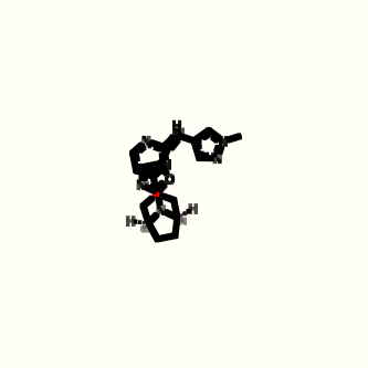 Cn1cc(Nc2nccc(N3C[C@H]4CC[C@@H](C3)N4c3ncc(C#N)o3)n2)cn1